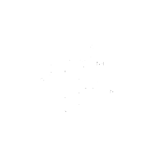 CN1CCc2c(-c3ccccc3)cc3c(c2C1)NC(=O)/C3=C/c1ccc(O)cc1